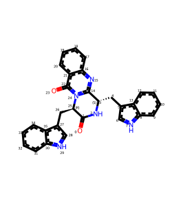 O=C1N[C@@H](Cc2c[nH]c3ccccc23)c2nc3ccccc3c(=O)n2[C@@H]1Cc1c[nH]c2ccccc12